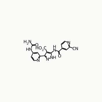 N#Cc1cc(C(=O)Nc2[nH]nc(-c3cc(NC(N)=O)ccn3)c2C(=O)O)ccn1